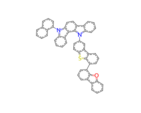 c1ccc2c(-n3c4ccccc4c4c3ccc3c5ccccc5n(-c5ccc6sc7c(-c8cccc9c8oc8ccccc89)cccc7c6c5)c34)cccc2c1